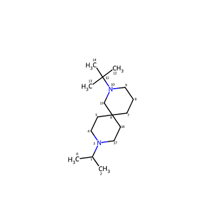 CC(C)N1CCC2(CCCN(C(C)(C)C)C2)CC1